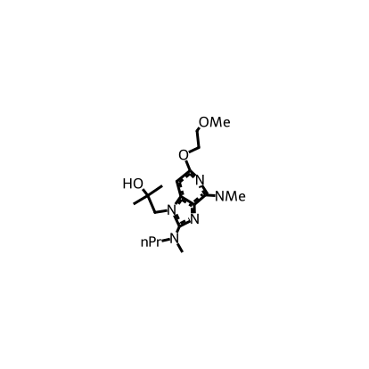 CCCN(C)c1nc2c(NC)nc(OCCOC)cc2n1CC(C)(C)O